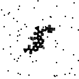 CC1=C2C(Nc3cc(C(=O)NC4CC4)ccc3C)=NC=NN2CC1C(=O)N(C(=O)OCOP(=O)(O)O)C1CC1